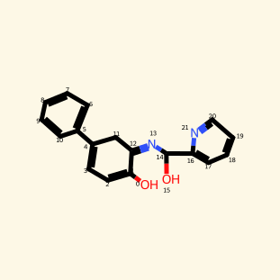 OC1=CC=C(c2ccccc2)CC1=NC(O)c1ccccn1